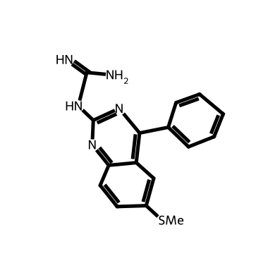 CSc1ccc2nc(NC(=N)N)nc(-c3ccccc3)c2c1